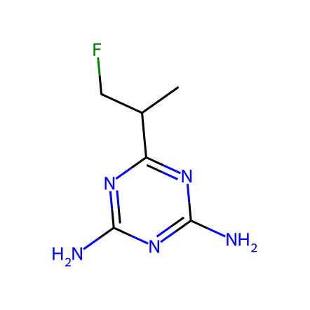 CC(CF)c1nc(N)nc(N)n1